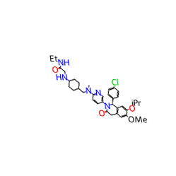 CCNC(=O)CNC1CCC(CN(C)c2ccc(N3C(=O)Cc4cc(OC)c(OC(C)C)cc4[C@@H]3c3ccc(Cl)cc3)cn2)CC1